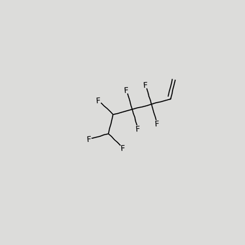 C=CC(F)(F)C(F)(F)C(F)C(F)F